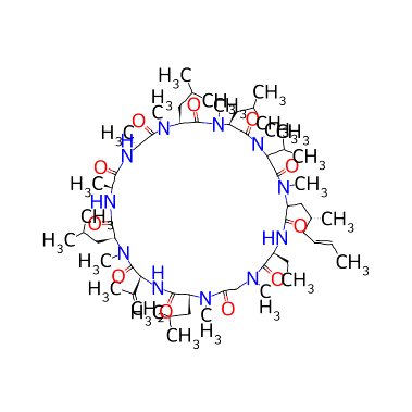 C=C(C)[C@@H]1NC(=O)[C@H](CC(C)C)N(C)C(=O)CN(C)C(=O)[C@H](CC)NC(=O)C(C[C@H](C)C/C=C/C)N(C)C(=O)C(C(C)C)N(C)C(=O)[C@H](CC(C)C)N(C)C(=O)[C@H](CC(C)C)N(C)C(=O)[C@@H](C)NC(=O)[C@H](C)NC(=O)[C@H](CC(C)C)N(C)C1=O